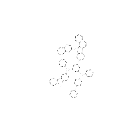 c1ccc(-c2ccc(N(c3ccccc3)c3cc(-c4ccc5c6ccc7ccccc7c6n(-c6ccc7ccccc7c6)c5c4)cc(N(c4ccccc4)c4ccc5sc6ccccc6c5c4)c3)cc2)cc1